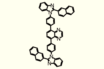 c1ccc2cc(-c3nc4ccccc4n3-c3ccc(-c4ccc(-c5ccc(-n6c(-c7ccc8ccccc8c7)nc7ccccc76)cc5)c5nccnc45)cc3)ccc2c1